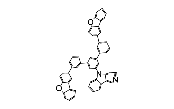 c1cc(-c2cc(-c3cccc(-c4ccc5oc6ccccc6c5c4)c3)cc(-n3c4ccccc4c4cnccc43)c2)cc(-c2ccc3oc4ccccc4c3c2)c1